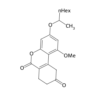 CCCCCCC(C)Oc1cc(OC)c2c3c(c(=O)oc2c1)CCC(=O)C3